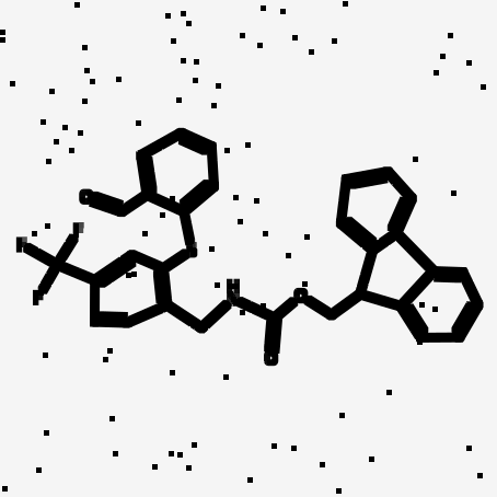 O=Cc1ccccc1Sc1cc(C(F)(F)F)ccc1CNC(=O)OCC1c2ccccc2-c2ccccc21